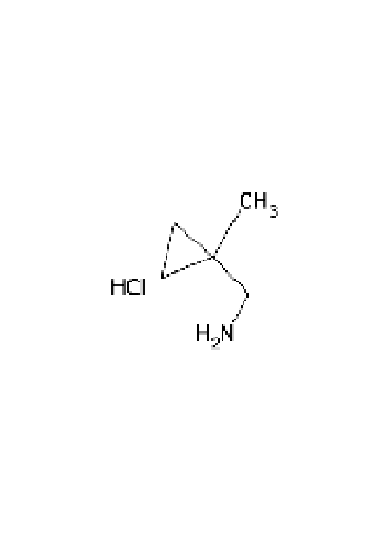 CC1(CN)CC1.Cl